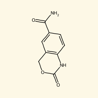 NC(=O)c1ccc2c(c1)COC(=O)N2